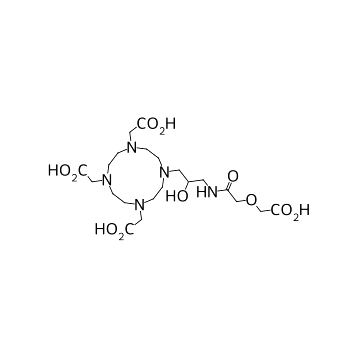 O=C(O)COCC(=O)NCC(O)CN1CCN(CC(=O)O)CCN(CC(=O)O)CCN(CC(=O)O)CC1